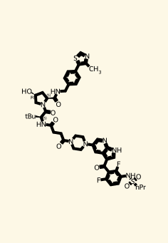 CCCS(=O)(=O)Nc1ccc(F)c(C(=O)c2c[nH]c3ncc(N4CCN(C(=O)CCC(=O)N[C@H](C(=O)N5C[C@H](O)C[C@H]5C(=O)NCc5ccc(-c6scnc6C)cc5)C(C)(C)C)CC4)cc23)c1F